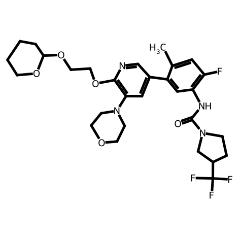 Cc1cc(F)c(NC(=O)N2CCC(C(F)(F)F)C2)cc1-c1cnc(OCCOC2CCCCO2)c(N2CCOCC2)c1